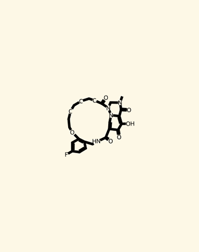 CN1CN2C(=O)CCCCCCCOc3cc(F)ccc3CNC(=O)c3cn2c(c(O)c3=O)C1=O